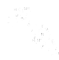 CC(N)(CCCOc1cc(F)c(-n2c(N)c(C(=O)c3ccc(F)cc3F)ccc2=O)c(F)c1)C(=O)OC1CCCC1